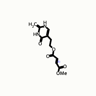 C=C1NC=C(CCOC(=O)/C=C/C(=O)OC)C(=O)N1